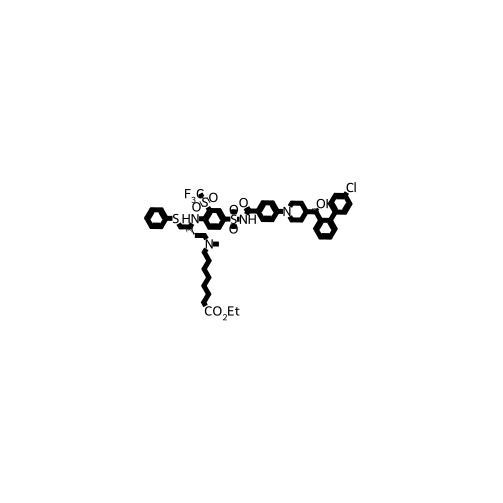 CCOC(=O)CCCCCCCN(C)CC[C@H](CSc1ccccc1)Nc1ccc(S(=O)(=O)NC(=O)c2ccc(N3CCC([C@@H](O)c4ccccc4-c4ccc(Cl)cc4)CC3)cc2)cc1S(=O)(=O)C(F)(F)F